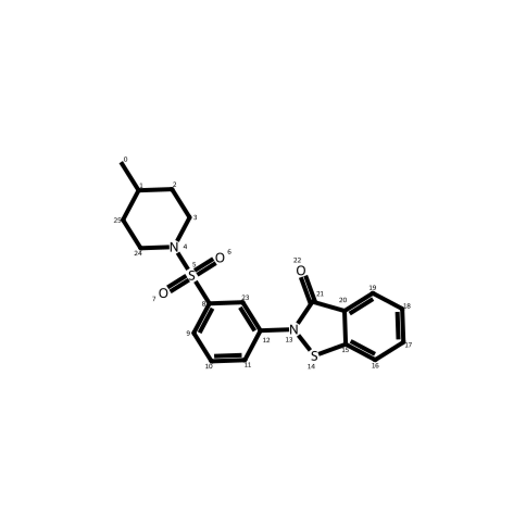 CC1CCN(S(=O)(=O)c2cccc(-n3sc4ccccc4c3=O)c2)CC1